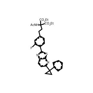 CCOC(=O)C(CCc1ccc(-c2nc3ccc(C4(c5ccccc5)CC4)nc3s2)c(F)c1)(NC(C)=O)C(=O)OCC